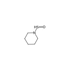 O=[SH]N1CCCCC1